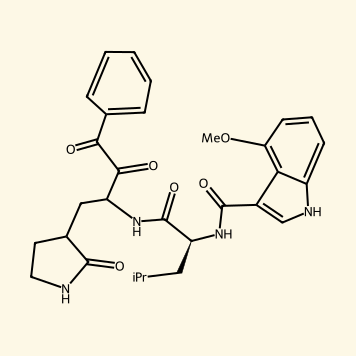 COc1cccc2[nH]cc(C(=O)N[C@@H](CC(C)C)C(=O)NC(CC3CCNC3=O)C(=O)C(=O)c3ccccc3)c12